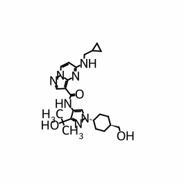 CC(C)(O)c1nn([C@H]2CC[C@H](CO)CC2)cc1NC(=O)c1cnn2ccc(NCC3CC3)nc12